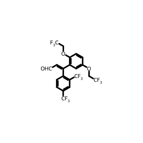 O=CC=C(c1cc(OCC(F)(F)F)ccc1OCC(F)(F)F)c1ccc(C(F)(F)F)cc1C(F)(F)F